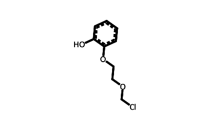 Oc1ccccc1OCCOCCl